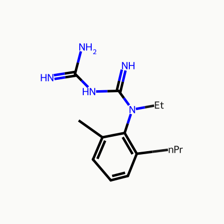 CCCc1cccc(C)c1N(CC)C(=N)NC(=N)N